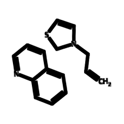 C=CCN1C=CSC1.c1ccc2ncccc2c1